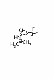 C[Si](C)N[Si](C)CCC(F)(F)F